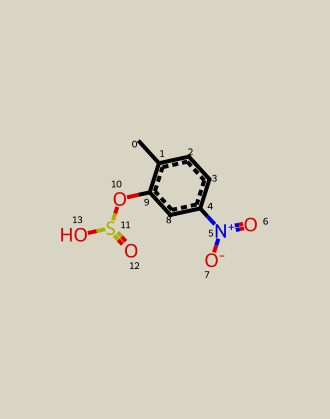 Cc1ccc([N+](=O)[O-])cc1OS(=O)O